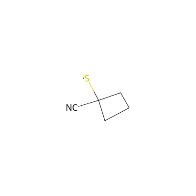 N#CC1([S])CCC1